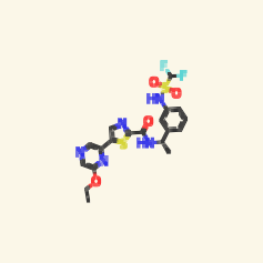 CCOc1cncc(-c2cnc(C(=O)N[C@H](C)c3cccc(NS(=O)(=O)C(F)F)c3)s2)n1